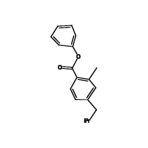 Cc1cc(CC(C)C)ccc1C(=O)Oc1ccccc1